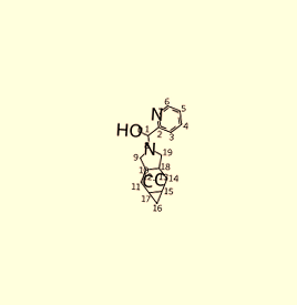 OC(c1ccccn1)N1CC2C3CCC(C4CC34)C2C1